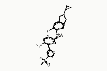 CS(=O)(=O)c1csc(-c2nc(Nc3cc4c(cc3F)CN(C3CC3)C4)ncc2C(F)(F)F)c1